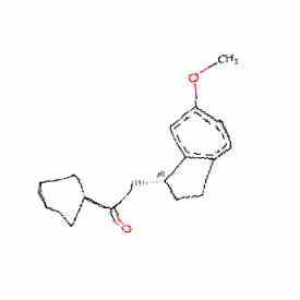 COc1ccc2c(c1)[C@@H](CC(=O)C1CCCC1)CC2